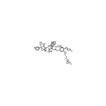 COCCCOc1cc(C[C@@H](C[C@H](N)[C@@H](O)CNC(=O)C(C)(C)n2ccnc2)C(C)C)ccc1OC.Cl.Cl